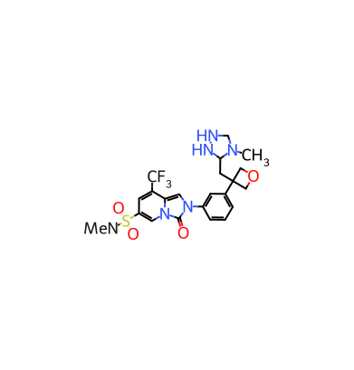 CNS(=O)(=O)c1cc(C(F)(F)F)c2cn(-c3cccc(C4(CC5NNCN5C)COC4)c3)c(=O)n2c1